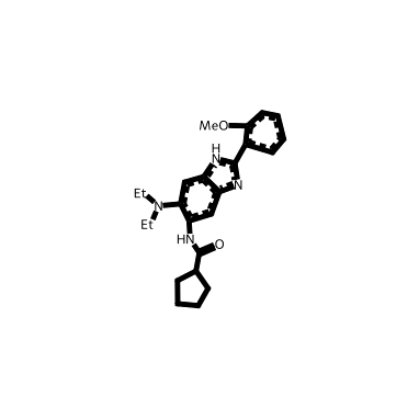 CCN(CC)c1cc2[nH]c(-c3ccccc3OC)nc2cc1NC(=O)C1CCCC1